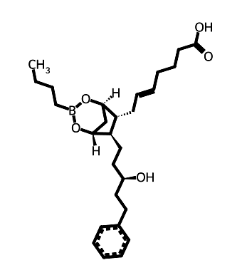 CCCCB1O[C@@H]2C[C@@H](O1)[C@H](CC[C@@H](O)CCc1ccccc1)[C@H]2CC=CCCCC(=O)O